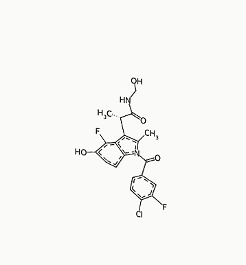 Cc1c([C@H](C)C(=O)NCO)c2c(F)c(O)ccc2n1C(=O)c1ccc(Cl)c(F)c1